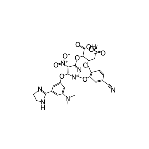 CN(C)c1cc(Oc2nc(Oc3cc(C#N)ccc3Cl)nc(OC(CCS(C)(=O)=O)C(=O)O)c2[N+](=O)[O-])cc(C2=NCCN2)c1